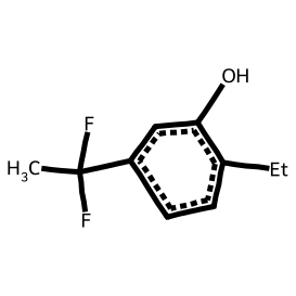 CCc1ccc(C(C)(F)F)cc1O